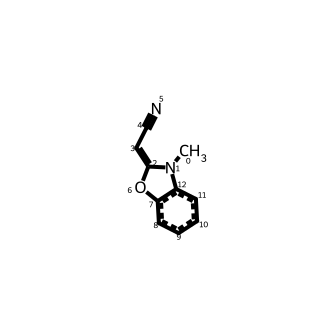 CN1C(=CC#N)Oc2ccccc21